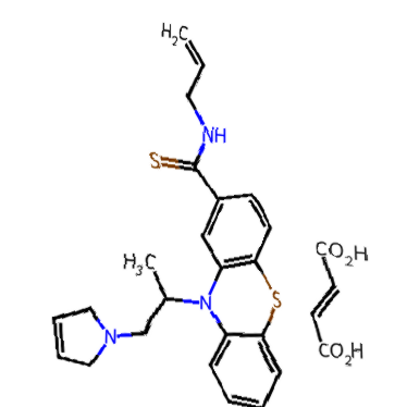 C=CCNC(=S)c1ccc2c(c1)N(C(C)CN1CC=CC1)c1ccccc1S2.O=C(O)C=CC(=O)O